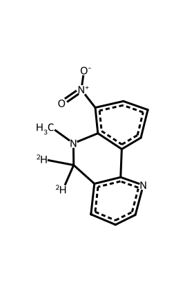 [2H]C1([2H])c2cccnc2-c2cccc([N+](=O)[O-])c2N1C